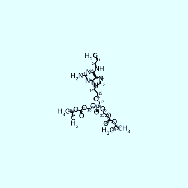 C=CCNc1nc(N)nc2c1ncn2CCOCP(=O)(OCOC(=O)OC(C)C)OCOC(=O)OC(C)C